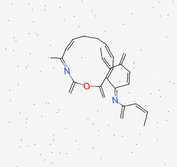 C=C(/C=C\C)\C=C/C(=N\C(=C)/C=C\C)C1=C/C=C\CC/C=C\C(C)=N/C(=C)OC\1=C